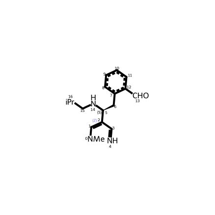 CN/C=C(\C=N)[C@H](Cc1ccccc1C=O)NCC(C)C